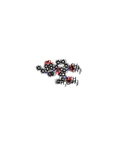 CC1(C)OB(/C(=C/c2ccc3c4c(ccc3c2)OCOc2ccc3cc(/C=C(/B5OC(C)(C)C(C)(C)O5)c5ccc(-c6cccc(-c7cccc(-c8ccc(/C=C(\c9ccc%10c%11c(ccc%10c9)OCOc9ccc%10cc(/C(=C\c%12ccc(-c%13ccccc%13)cc%12)C%12CCCCC%12)ccc%10c9-%11)C9CCCCC9)cc8)c7)c6)cc5)ccc3c2-4)c2ccc(-c3ccccc3)cc2)OC1(C)C